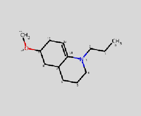 CCCN1CCCC2CC(OC)CC=C21